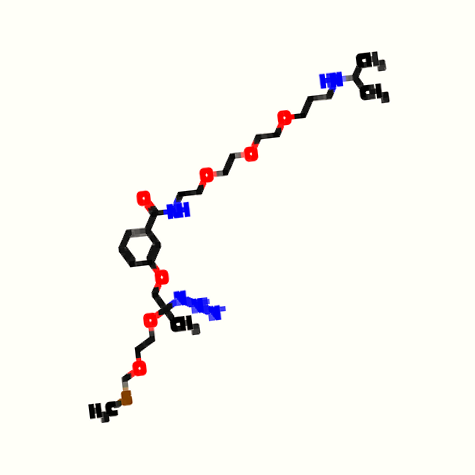 CSCOCCOC(C)(COc1cccc(C(=O)NCCOCCOCCOCCCNC(C)C)c1)N=[N+]=[N-]